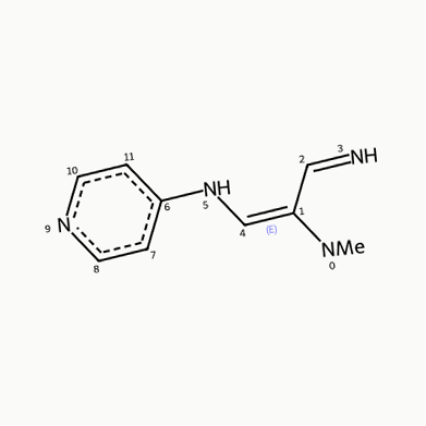 CN/C(C=N)=C/Nc1ccncc1